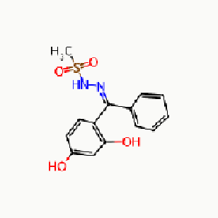 CS(=O)(=O)N/N=C(/c1ccccc1)c1ccc(O)cc1O